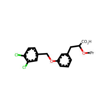 CC(C)OC(Cc1cccc(OCc2ccc(Cl)c(Cl)c2)c1)C(=O)O